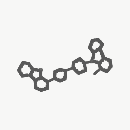 Cc1cccc2c3ccccc3n(-c3ccc(-c4ccc(-c5cccc6c5oc5ccccc56)cc4)cc3)c12